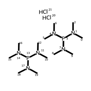 CN(C)P(N(C)C)N(C)C.CN(C)P(N(C)C)N(C)C.Cl.Cl